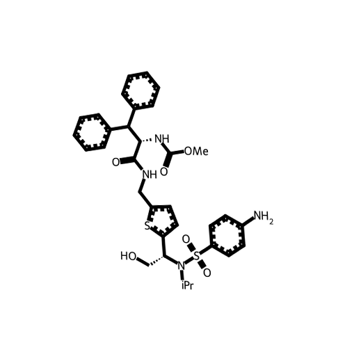 COC(=O)N[C@H](C(=O)NCc1ccc([C@@H](CO)N(C(C)C)S(=O)(=O)c2ccc(N)cc2)s1)C(c1ccccc1)c1ccccc1